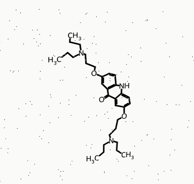 CCCN(CCC)CCCOc1ccc2[nH]c3ccc(OCCCN(CCC)CCC)cc3c(=O)c2c1